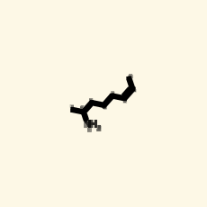 C/C=C\CCCC(C)N